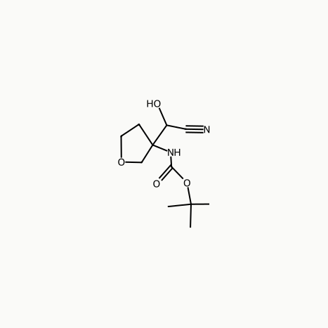 CC(C)(C)OC(=O)NC1(C(O)C#N)CCOC1